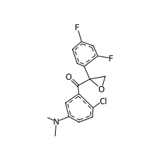 CN(C)c1ccc(Cl)c(C(=O)C2(c3ccc(F)cc3F)CO2)c1